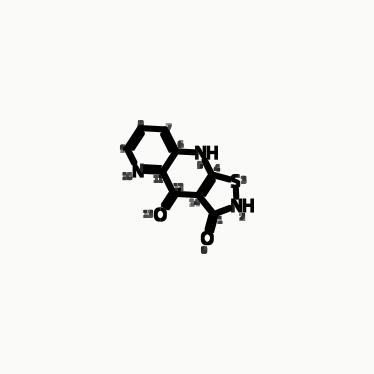 O=c1[nH]sc2[nH]c3cccnc3c(=O)c12